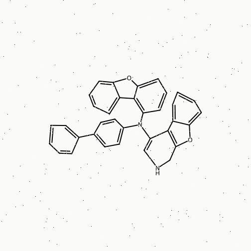 C1=C(N(c2ccc(-c3ccccc3)cc2)c2cccc3oc4ccccc4c23)c2c(oc3ccccc23)CN1